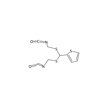 O=C=NCSC(SCN=C=O)c1cccs1